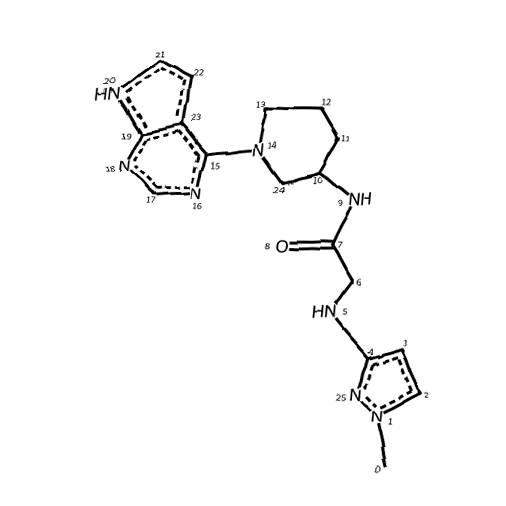 Cn1ccc(NCC(=O)NC2CCCN(c3ncnc4[nH]ccc34)C2)n1